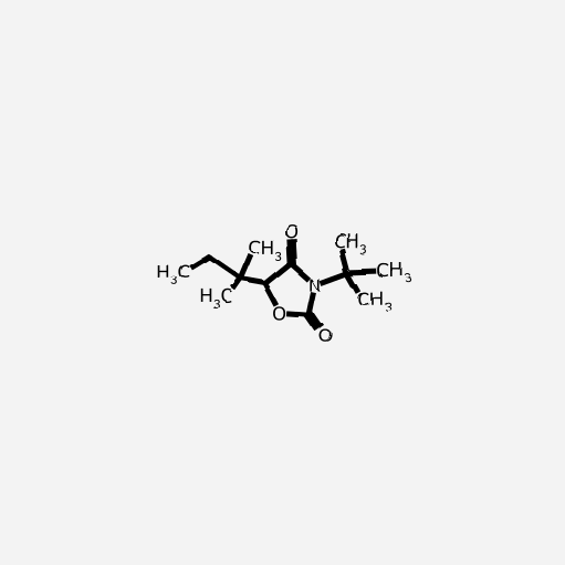 CCC(C)(C)C1OC(=O)N(C(C)(C)C)C1=O